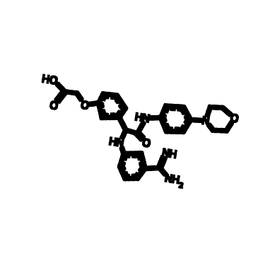 N=C(N)c1cccc(NC(C(=O)Nc2ccc(N3CCOCC3)cc2)c2cccc(OCC(=O)O)c2)c1